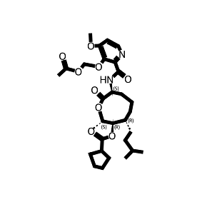 COc1ccnc(C(=O)N[C@H]2CCC[C@H](CCC(C)C)[C@@H](OC(=O)C3CCCC3)[C@H](C)OC2=O)c1OCOC(C)=O